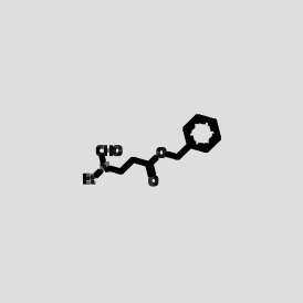 CCN(C=O)CCC(=O)OCc1ccccc1